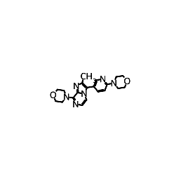 Cc1nc2c(N3CCOCC3)nccn2c1-c1ccc(N2CCOCC2)nc1